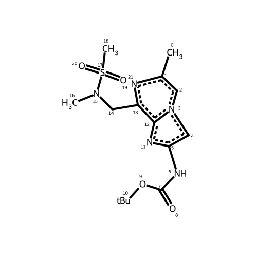 Cc1cn2cc(NC(=O)OC(C)(C)C)nc2c(CN(C)S(C)(=O)=O)n1